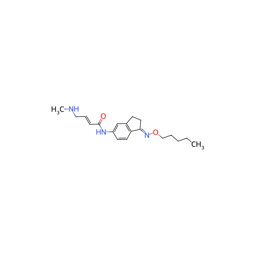 CCCCCO/N=C1\CCc2cc(NC(=O)/C=C/CNC)ccc21